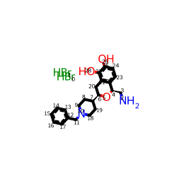 Br.Br.NC[C@H]1O[C@@H](C2CCN(Cc3ccccc3)CC2)Cc2c1ccc(O)c2O